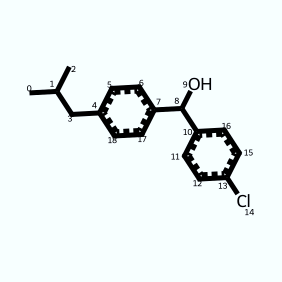 CC(C)Cc1ccc(C(O)c2ccc(Cl)cc2)cc1